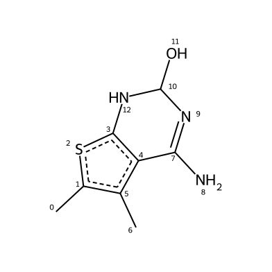 Cc1sc2c(c1C)C(N)=NC(O)N2